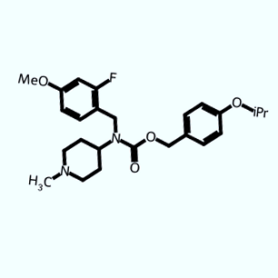 COc1ccc(CN(C(=O)OCc2ccc(OC(C)C)cc2)C2CCN(C)CC2)c(F)c1